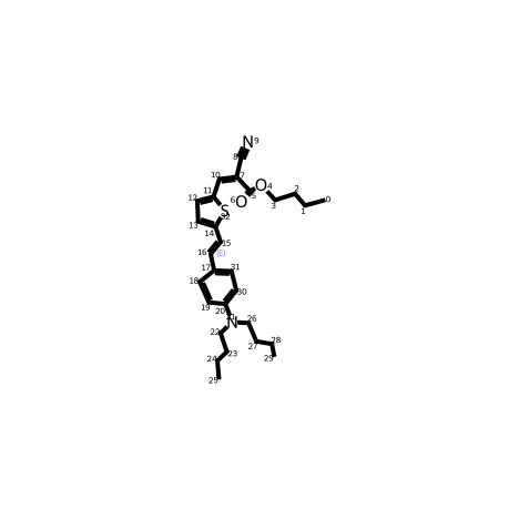 CCCCOC(=O)C(C#N)=Cc1ccc(/C=C/c2ccc(N(CCCC)CCCC)cc2)s1